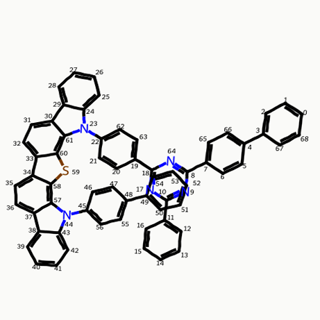 c1ccc(-c2ccc(-c3nc(-c4ccccc4)nc(-c4ccc(-n5c6ccccc6c6ccc7c8ccc9c%10ccccc%10n(-c%10ccc(-c%11ccccc%11)cc%10)c9c8sc7c65)cc4)n3)cc2)cc1